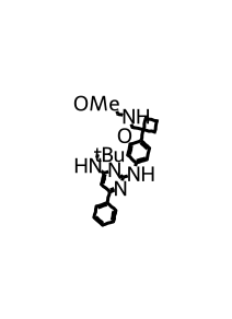 COCNC(=O)C1(c2ccc(Nc3nc(NC(C)(C)C)cc(-c4ccccc4)n3)cc2)CCC1